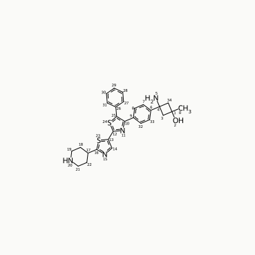 CC1(O)CC(N)(c2ccc(-c3nc(-c4cnc(C5CCNCC5)s4)sc3-c3ccccc3)cc2)C1